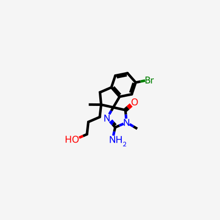 CN1C(=O)C2(N=C1N)c1cc(Br)ccc1CC2(C)CCCO